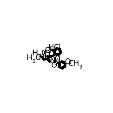 CNCc1cn(S(=O)(=O)c2cccc(OC)c2)c(-c2ccccc2Cl)c1OC.Cl